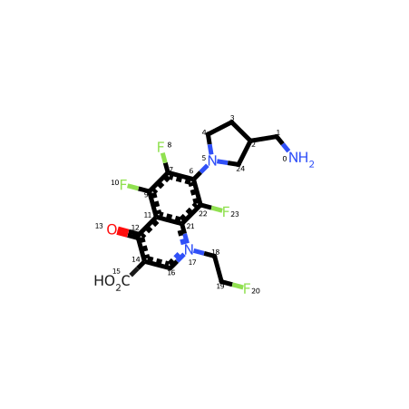 NCC1CCN(c2c(F)c(F)c3c(=O)c(C(=O)O)cn(CCF)c3c2F)C1